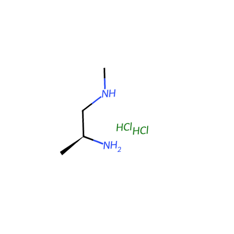 CNC[C@H](C)N.Cl.Cl